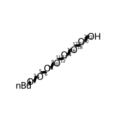 CCCCOCCOCCOCCOCCOCCOCCOCCO